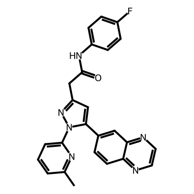 Cc1cccc(-n2nc(CC(=O)Nc3ccc(F)cc3)cc2-c2ccc3nccnc3c2)n1